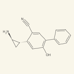 N#Cc1cc(-c2ccccc2)c(O)cc1[C@@H]1C[C@H]1N